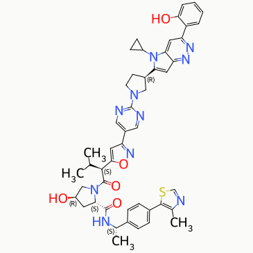 Cc1ncsc1-c1ccc([C@H](C)NC(=O)[C@@H]2C[C@@H](O)CN2C(=O)[C@H](c2cc(-c3cnc(N4CC[C@@H](c5cc6nnc(-c7ccccc7O)cc6n5C5CC5)C4)nc3)no2)C(C)C)cc1